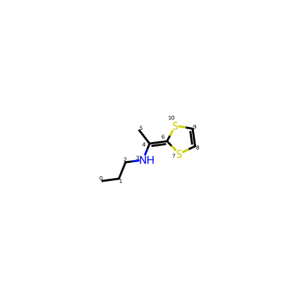 CCCNC(C)=C1SC=CS1